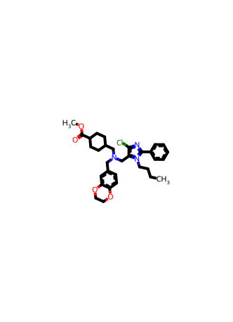 CCCCn1c(-c2ccccc2)nc(Cl)c1CN(Cc1ccc2c(c1)OCCO2)CC1CCC(C(=O)OC)CC1